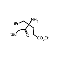 CCOC(=O)CC[C@@](N)(CC(C)C)C(=O)OC(C)(C)C